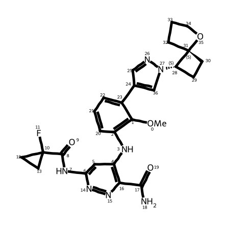 COc1c(Nc2cc(NC(=O)C3(F)CC3)nnc2C(N)=O)cccc1-c1cnn([C@H]2CC[C@]23CCCO3)c1